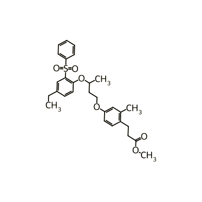 CCc1ccc(OC(C)CCOc2ccc(CCC(=O)OC)c(C)c2)c(S(=O)(=O)c2ccccc2)c1